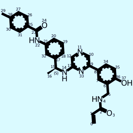 C=CC(=O)NCc1cc(-c2cncc(N[C@@H](C)c3cccc(NC(=O)c4ccc(C)cc4)c3)n2)ccc1O